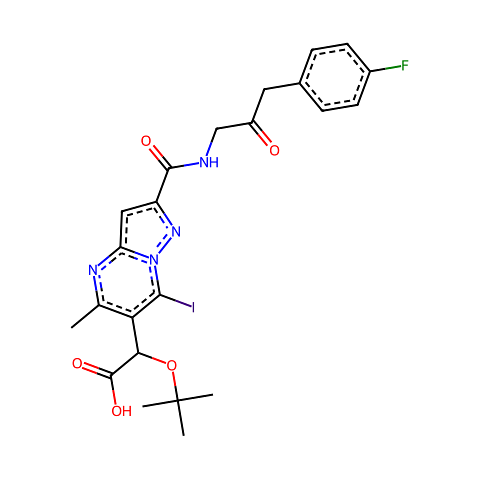 Cc1nc2cc(C(=O)NCC(=O)Cc3ccc(F)cc3)nn2c(I)c1C(OC(C)(C)C)C(=O)O